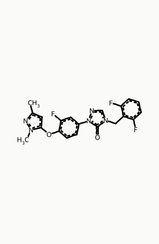 Cc1cc(Oc2ccc(-n3ncn(Cc4c(F)cccc4F)c3=O)cc2F)n(C)n1